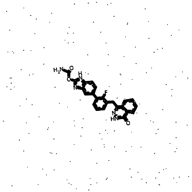 NC(=O)Oc1nc2cc(-c3cccc(Cc4n[nH]c(=O)c5ccccc45)c3F)ccc2[nH]1